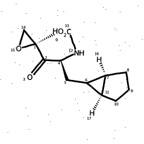 C[C@@]1(C(=O)[C@H](CC2[C@H]3CCC[C@@H]23)NC(=O)O)CO1